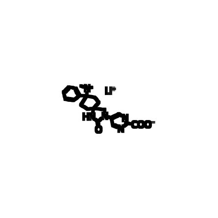 CN(C)C1(c2ccccc2)CCC2(CC1)CN(c1cnc(C(=O)[O-])nc1)C(=O)N2.[Li+]